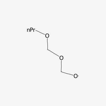 CCCOCOC[O]